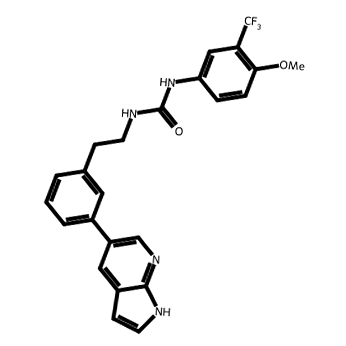 COc1ccc(NC(=O)NCCc2cccc(-c3cnc4[nH]ccc4c3)c2)cc1C(F)(F)F